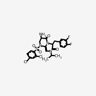 CC(C)N1C=C2N(C(=O)C(N)CN2S(=O)(=O)c2ccc(Cl)cc2Cl)C(Cc2ccc(F)c(F)c2)C1=O